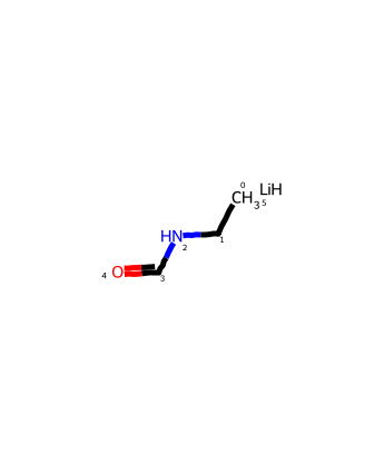 CCNC=O.[LiH]